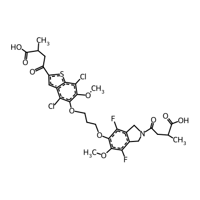 COc1c(F)c2c(c(F)c1OCCCOc1c(OC)c(Cl)c3sc(C(=O)CC(C)C(=O)O)cc3c1Cl)CN(C(=O)CC(C)C(=O)O)C2